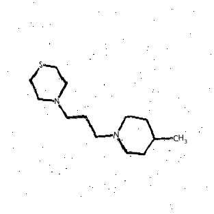 CC1CCN(CCCN2CCSCC2)CC1